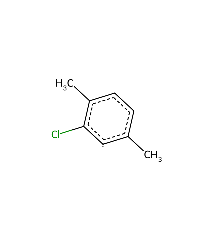 Cc1[c]c(Cl)c(C)cc1